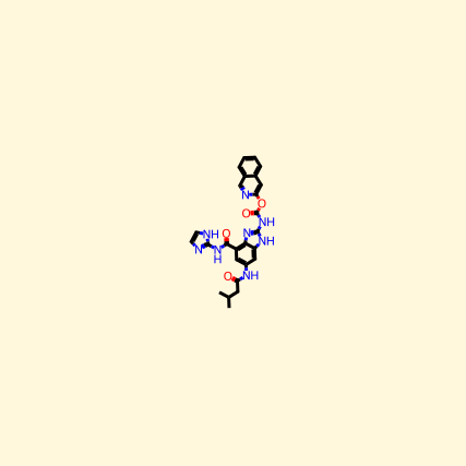 CC(C)CC(=O)Nc1cc(C(=O)Nc2ncc[nH]2)c2nc(NC(=O)Oc3cc4ccccc4cn3)[nH]c2c1